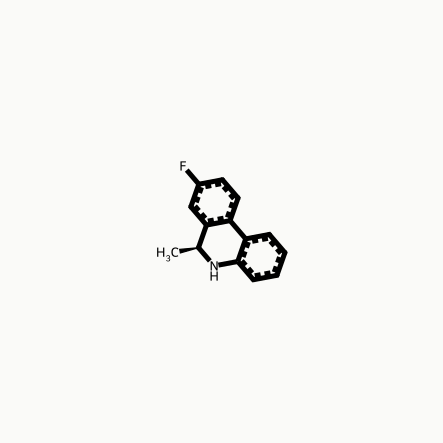 C[C@@H]1Nc2ccccc2-c2ccc(F)cc21